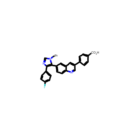 CC(C)n1cnc(-c2ccc(F)cc2)c1-c1ccc2ncc(-c3ccc(C(=O)O)cc3)cc2c1